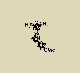 COc1ccc(-c2noc(CSc3nc(C)cc(N)n3)n2)nn1